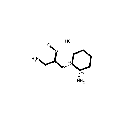 COC(CN)C[C@@H]1CCCC[C@@H]1N.Cl